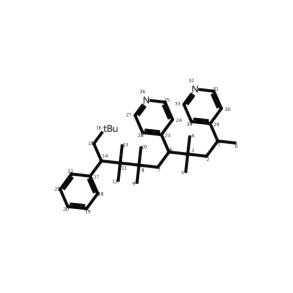 CC(CC(C)(C)C(CC(C)(C)C(C)(C)C(CC(C)(C)C)c1ccccc1)c1ccncc1)c1ccncc1